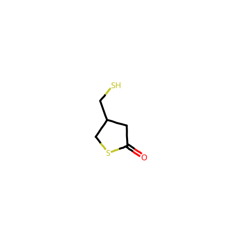 O=C1CC(CS)CS1